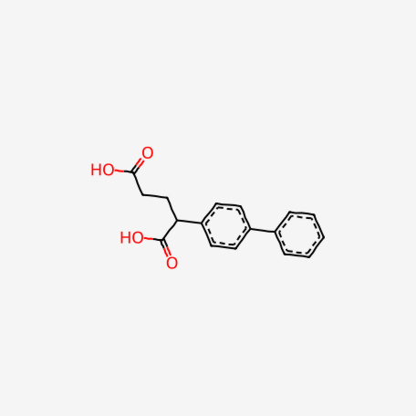 O=C(O)CCC(C(=O)O)c1ccc(-c2ccccc2)cc1